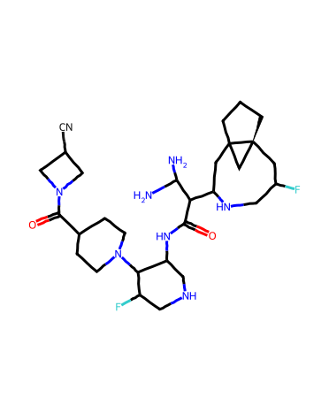 N#CC1CN(C(=O)C2CCN(C3C(F)CNCC3NC(=O)C(C(N)N)C3CC45CCC[C@@]4(CC(F)CN3)C5)CC2)C1